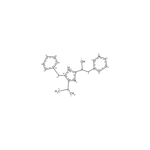 CC(C)c1nc(C(O)Cc2cccnc2)[nH]c1Sc1ccccc1